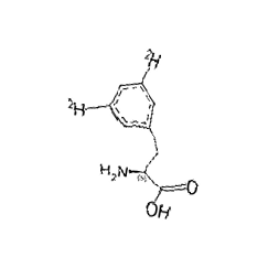 [2H]c1cc([2H])cc(C[C@H](N)C(=O)O)c1